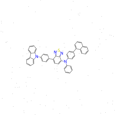 c1ccc(N(c2ccc(-c3cccc4ccccc34)cc2)c2ccc(-c3ccc(-n4c5ccccc5c5ccccc54)cc3)c3nsnc23)cc1